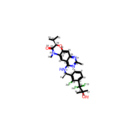 Cc1nc(N[C@H](C)c2cccc(C(F)(F)C(C)(C)O)c2F)c2cc3c(cc2n1)O[C@H](C(C)C)C(=O)N3C